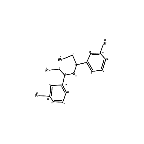 CC(C)CC(SC(CC(C)C)c1cccc(Br)c1)c1cccc(Br)c1